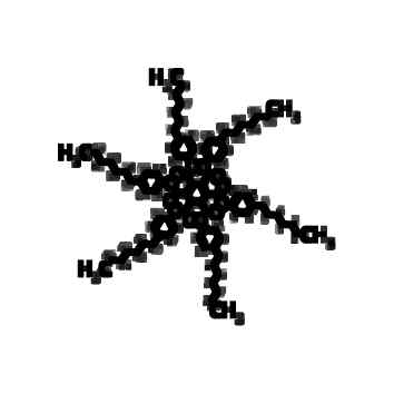 CCCCCCCc1ccc(OC(=O)c2c(C(=O)Oc3ccc(CCCCCCC)cc3)c(C(=O)Oc3ccc(CCCCCCC)cc3)c(C(=O)Oc3ccc(CCCCCCC)cc3)c(C(=O)Oc3ccc(CCCCCCC)cc3)c2C(=O)Oc2ccc(CCCCCCC)cc2)cc1